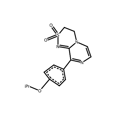 CC(C)Oc1ccc(C2=NC=CN3CCS(=O)(=O)N=C23)cc1